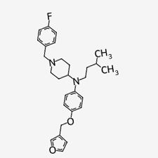 CC(C)CCN(c1ccc(OCc2ccoc2)cc1)C1CCN(Cc2ccc(F)cc2)CC1